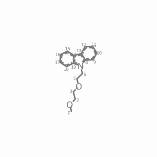 COCCOCCn1c2cc[c]cc2c2ccccc21